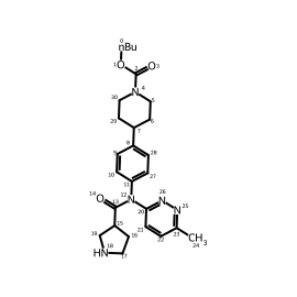 CCCCOC(=O)N1CCC(c2ccc(N(C(=O)C3CCNC3)c3ccc(C)nn3)cc2)CC1